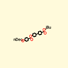 CCCCCCCCCCOc1ccc(C(=O)Oc2ccc(-c3ccc(C(=O)OCC(C)CC)cc3)cc2)cc1